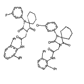 CC(C)c1cccc(C(C)C)c1NC(=O)CN1C(=O)N(c2cccc(Cl)c2)C2(CCCCC2)C1=O.CC(C)c1cccc(C(C)C)c1NC(=O)CN1C(=O)N(c2cccc(F)c2)C2(CCCCC2)C1=O